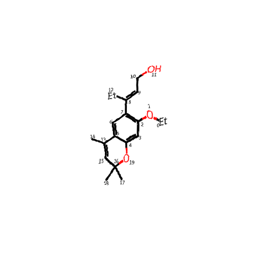 CCOc1cc2c(cc1/C(=C/CO)CC)C(C)=CC(C)(C)O2